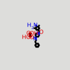 Cc1cc(C(=O)N2CCC(N(C)CCc3ccccc3)CC2)cc(C)c1N.O=C(O)C(=O)O